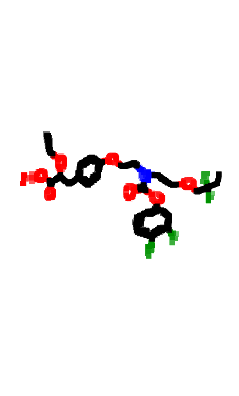 CCOC(Cc1ccc(OCCN(CCOCC(F)(F)CC)C(=O)Oc2ccc(F)c(F)c2)cc1)C(=O)O